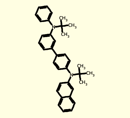 CC(C)(C)N(c1ccccc1)c1cccc(-c2ccc(N(c3ccc4ccccc4c3)C(C)(C)C)cc2)c1